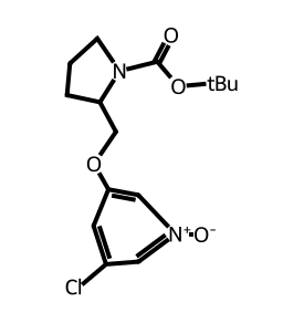 CC(C)(C)OC(=O)N1CCCC1COc1cc(Cl)c[n+]([O-])c1